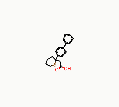 O=C(O)CC1(c2ccc(-c3ccccc3)cc2)CCCCS1